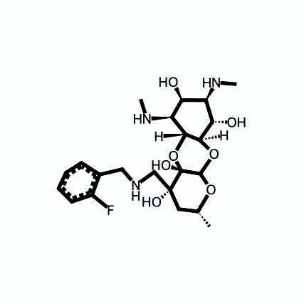 CN[C@@H]1[C@H](O)[C@H](NC)[C@H]2O[C@]3(O)C(O[C@@H]2[C@H]1O)O[C@H](C)C[C@@]3(O)CNCc1ccccc1F